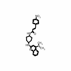 CN(C)c1cc(NC2CCC(NC(=O)/C=C/c3ccc([N+](=O)[O-])cc3)CC2)nc2ccccc12